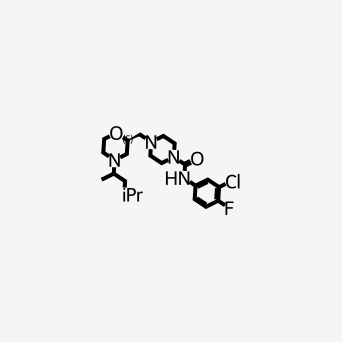 CC(C)CC(C)N1CCO[C@@H](CN2CCN(C(=O)Nc3ccc(F)c(Cl)c3)CC2)C1